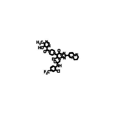 CCc1c(N2CCN(C(=O)c3ncnc(C)c3O)CC2)c(=O)n2nc(C3=CN4CCCN=C4C=C3)nc2n1CC(=O)Nc1ccc(C(F)(F)F)cc1Cl